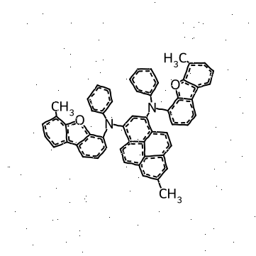 Cc1cc2ccc3c(N(c4ccccc4)c4cccc5c4oc4c(C)cccc45)cc(N(c4ccccc4)c4cccc5c4oc4c(C)cccc45)c4ccc(c1)c2c34